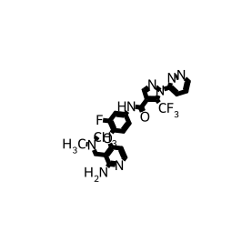 CN(C)Cc1c(Oc2ccc(NC(=O)c3cnn(-c4cccnn4)c3C(F)(F)F)cc2F)ccnc1N